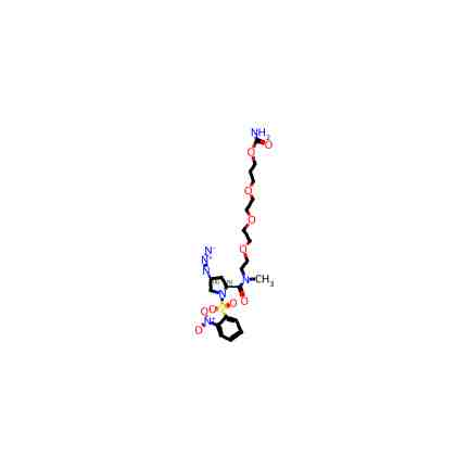 CN(CCOCCOCCOCCCOC(N)=O)C(=O)[C@@H]1C[C@H](N=[N+]=[N-])CN1S(=O)(=O)c1ccccc1[N+](=O)[O-]